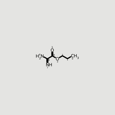 CCCOC(=O)C(=N)N